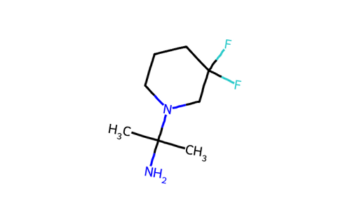 CC(C)(N)N1CCCC(F)(F)C1